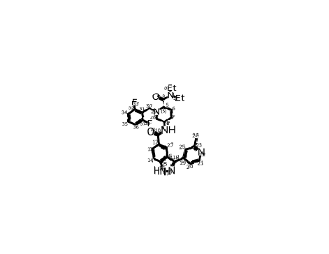 CCN(CC)C(=O)[C@@H]1CC[C@@H](NC(=O)c2ccc3[nH]nc(-c4ccnc(C)c4)c3c2)CN1Cc1c(F)cccc1F